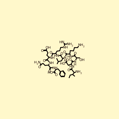 CCC(C)C(N)C(=O)NC(CC(=O)O)C(=O)NC(CO)C(=O)NC(CCCCN)C(=O)NC(CC(C)C)C(=O)NC(CCCNC(=N)N)C(=O)NC(CCC(=O)O)C(=O)NC(CCC(N)=O)C(=O)NC(Cc1ccccc1)C(=O)O